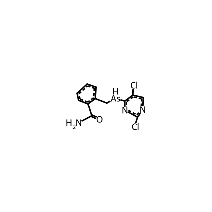 NC(=O)c1ccccc1C[AsH]c1nc(Cl)ncc1Cl